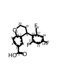 O=C(O)c1ccc2c(c1)C(c1c(F)cc(F)cc1F)CCO2